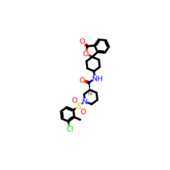 Cc1c(Cl)cccc1S(=O)(=O)N1CCC[C@H](C(=O)NC2CCC3(CC2)OC(=O)c2ccccc23)C1